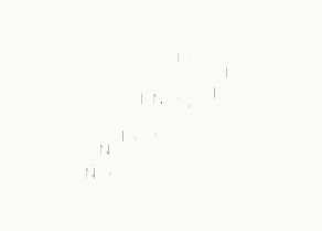 Cn1cncc1C(=O)c1ccc(NC(=O)OC(C)(C)C)cc1